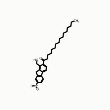 CCCCCCCCCCCCCCCC(=O)c1ccc2c(c1CO)Cc1cc([N+](=O)[O-])ccc1-2